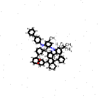 Cc1cc2c3c(c1)-n1c4cc(C(C)(C)C)ccc4c4c5c(-c6ccccc6)c6c(c(-c7ccccc7)c5cc(c41)B3c1cc(-c3ccccc3)ccc1N2c1ccc(-c2ccccc2)cc1)C=CCC6